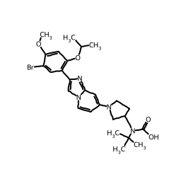 COc1cc(OC(C)C)c(-c2cn3ccc(N4CCC(N(C(=O)O)C(C)(C)C)C4)cc3n2)cc1Br